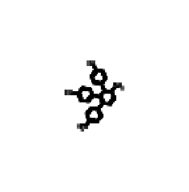 Nc1ccc(-c2ccc(N)c(-c3ccc(O)cc3)c2-c2ccc(O)cc2)cc1